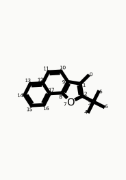 Cc1c(C(C)(C)C)oc2c1ccc1ccccc12